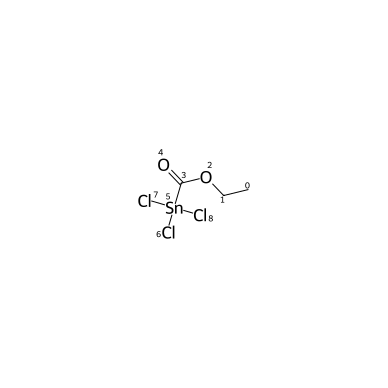 CCO[C](=O)[Sn]([Cl])([Cl])[Cl]